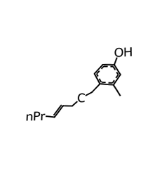 CCCC=CCCCc1ccc(O)cc1C